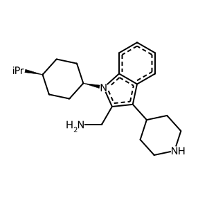 CC(C)[C@H]1CC[C@@H](n2c(CN)c(C3CCNCC3)c3ccccc32)CC1